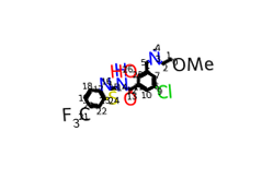 COCCN(C)Cc1cc(Cl)cc(C(=O)Nc2nc3ccc(C(F)(F)F)cc3s2)c1O